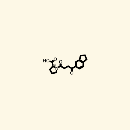 O=C(CCC(=O)N1CCC[C@H]1C(=O)O)c1ccc2c(c1)CCC2